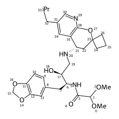 COC(OC)C(=O)N[C@@H](Cc1ccc2c(c1)OCO2)[C@@H](O)CN[C@H]1CC2(CCC2)Oc2ncc(CC(C)C)cc21